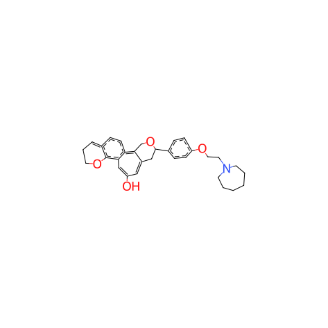 OC1=Cc2c3c(ccc2=C2COC(c4ccc(OCCN5CCCCCC5)cc4)CC2=C1)=CCCO3